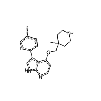 Cc1ccc(-c2c[nH]c3nccc(OCC4(C)CCNCC4)c23)nc1